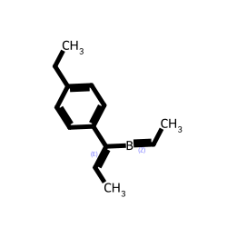 C/C=B\C(=C/C)c1ccc(CC)cc1